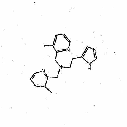 Cc1cccnc1CN(CCc1cnc[nH]1)Cc1ncccc1C